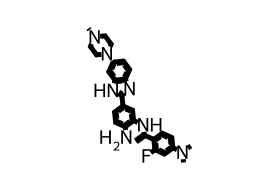 C=C(Nc1cc(-c2nc3ccc(N4CCN(C)CC4)cc3[nH]2)ccc1N)c1ccc(N(C)C)cc1F